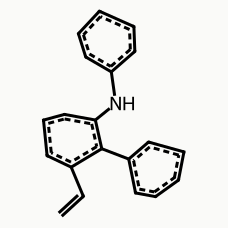 C=Cc1cccc(Nc2ccccc2)c1-c1ccccc1